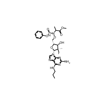 CCCNc1nc(N)nc2c1ncn2[C@@H]1O[C@H](CON(C(C)C(=O)OC)[PH](=O)Oc2ccccc2)[C@@H](O)[C@@]1(C)F